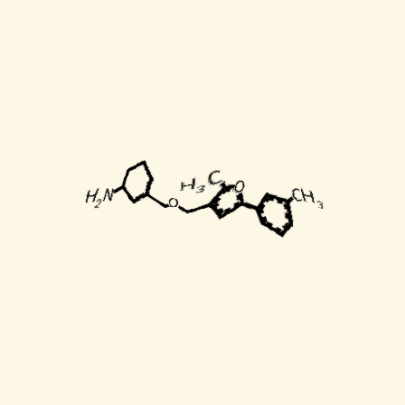 Cc1cccc(-c2cc(COCC3CCCC(N)C3)c(C)o2)c1